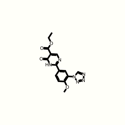 CCOC(=O)c1cnc(-c2ccc(OC)c(-n3cnnn3)c2)[nH]c1=O